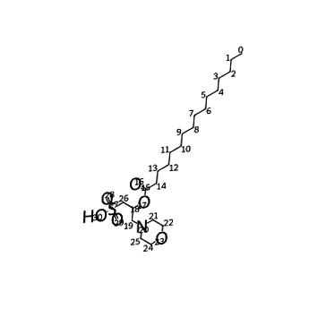 CCCCCCCCCCCCCCCC(=O)OC(CN1CCOCC1)CS(=O)(=O)O